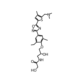 CCc1cc(-c2noc(-c3cc(C)c(CN(C)C)s3)n2)cc(C)c1OC[C@@H](O)CNC(=O)CO